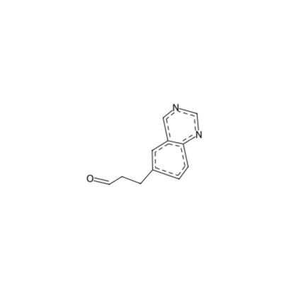 O=CCCc1ccc2ncncc2c1